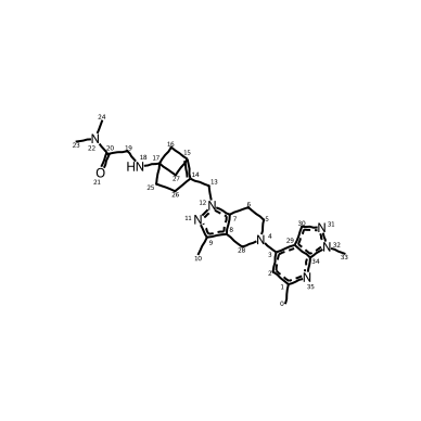 Cc1cc(N2CCc3c(c(C)nn3CC3=C4CC(NCC(=O)N(C)C)(CC3)C4)C2)c2cnn(C)c2n1